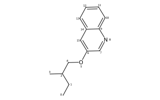 CCC(C)COc1cnc2ccccc2c1